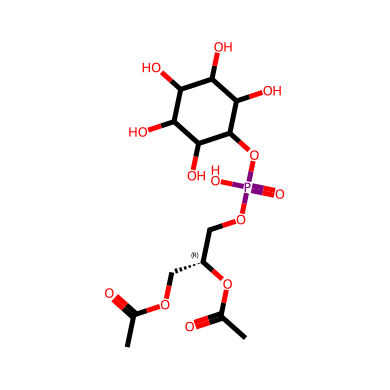 CC(=O)OC[C@H](COP(=O)(O)OC1C(O)C(O)C(O)C(O)C1O)OC(C)=O